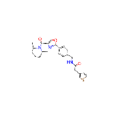 CC1CCCC(C)N1C(=O)c1coc(-c2ccc(CNC(=O)Cc3ccsc3)cc2)n1